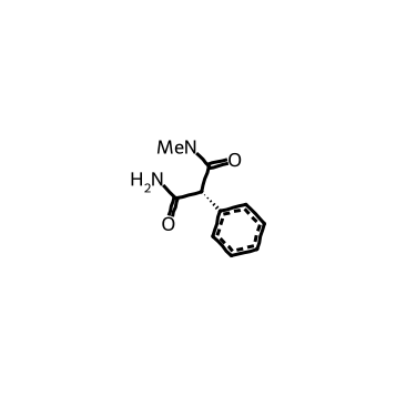 CNC(=O)[C@@H](C(N)=O)c1ccccc1